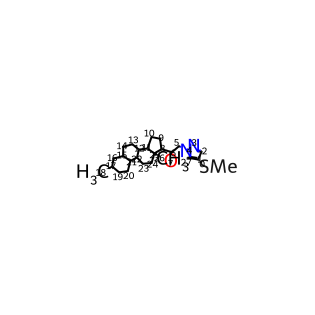 CSc1cnn(CC(=O)C2CCC3C4CCC5CC(C)CCC5C4CCC23C)c1